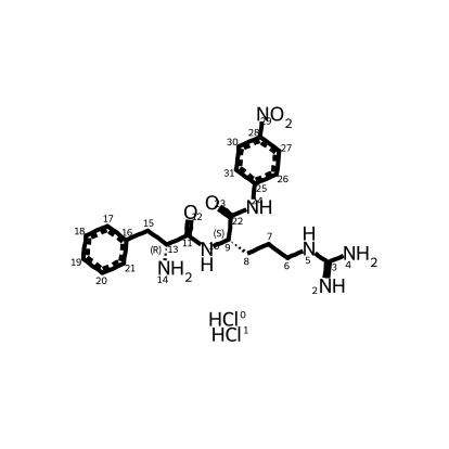 Cl.Cl.N=C(N)NCCC[C@H](NC(=O)[C@H](N)Cc1ccccc1)C(=O)Nc1ccc([N+](=O)[O-])cc1